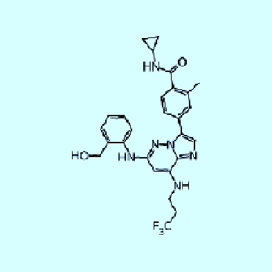 Cc1cc(-c2cnc3c(NCCC(F)(F)F)cc(Nc4ccccc4CO)nn23)ccc1C(=O)NC1CC1